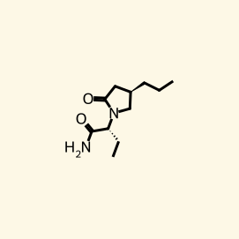 CCC[C@@H]1CC(=O)N([C@H](CC)C(N)=O)C1